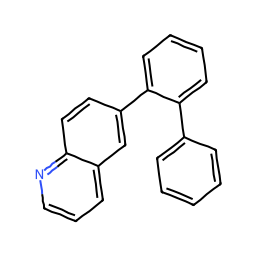 c1ccc(-c2ccccc2-c2ccc3ncccc3c2)cc1